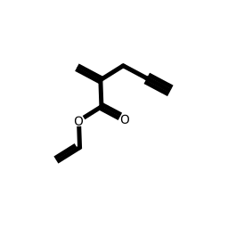 C#CCC(=C)C(=O)OC=C